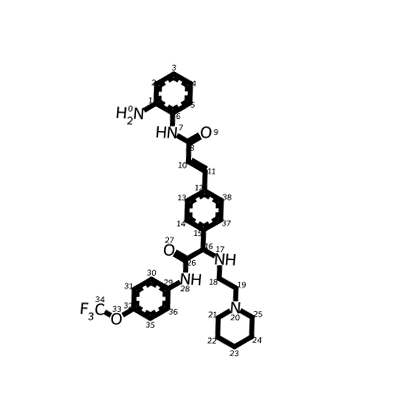 Nc1ccccc1NC(=O)/C=C/c1ccc(C(NCCN2CCCCC2)C(=O)Nc2ccc(OC(F)(F)F)cc2)cc1